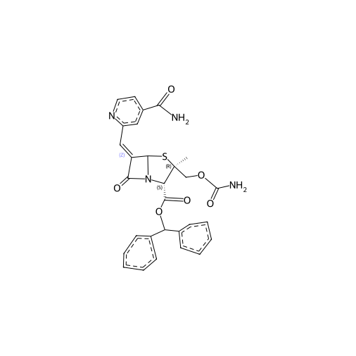 C[C@@]1(COC(N)=O)SC2/C(=C\c3cc(C(N)=O)ccn3)C(=O)N2[C@H]1C(=O)OC(c1ccccc1)c1ccccc1